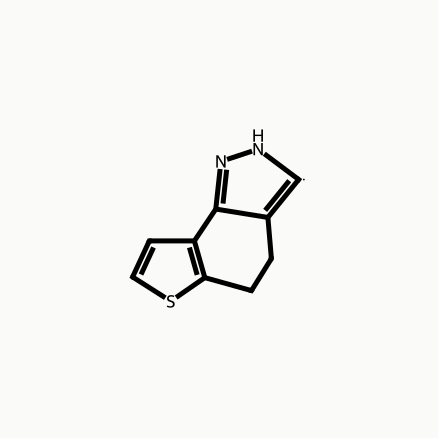 [c]1[nH]nc2c1CCc1sccc1-2